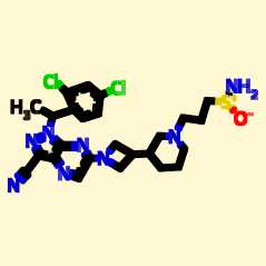 CC(c1ccc(Cl)cc1Cl)n1nc(C#N)c2ncc(N3CC(C4CCCN(CCC[S+](N)[O-])C4)C3)nc21